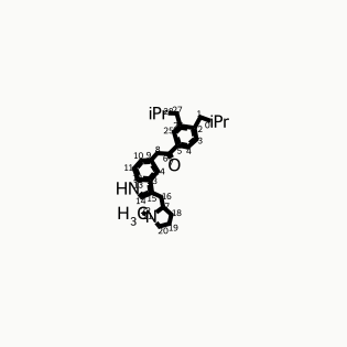 CC(C)Cc1ccc(C(=O)Cc2ccc3[nH]cc(CC4CCCN4C)c3c2)cc1CC(C)C